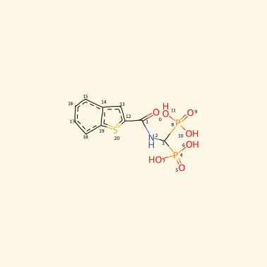 O=C(NC(P(=O)(O)O)P(=O)(O)O)c1cc2ccccc2s1